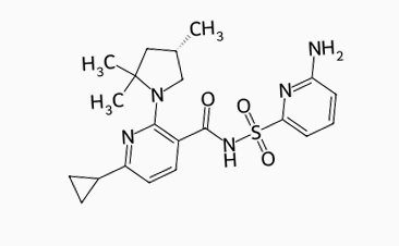 C[C@@H]1CN(c2nc(C3CC3)ccc2C(=O)NS(=O)(=O)c2cccc(N)n2)C(C)(C)C1